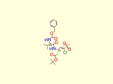 CC(C)[C@@H](NC(=O)OCc1ccccc1)C(=O)N[C@H](/C=C(\Cl)S(C)(=O)=O)CC(=O)OC(C)(C)C